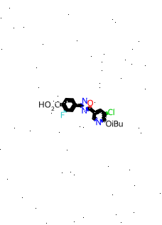 CC(C)COc1ncc(-c2nc(-c3ccc(C(=O)O)c(F)c3)no2)cc1Cl